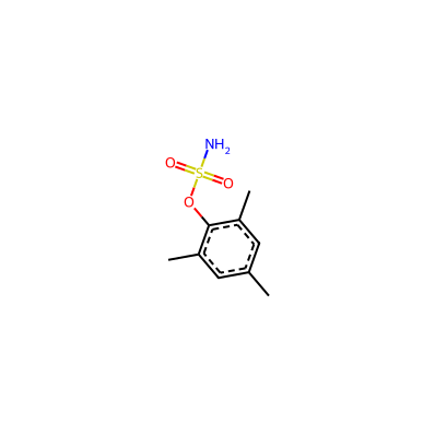 Cc1cc(C)c(OS(N)(=O)=O)c(C)c1